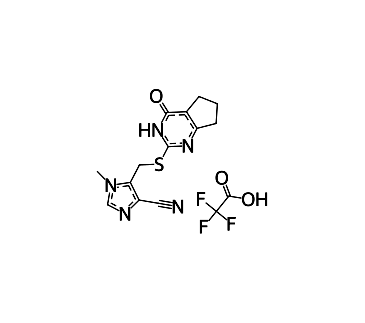 Cn1cnc(C#N)c1CSc1nc2c(c(=O)[nH]1)CCC2.O=C(O)C(F)(F)F